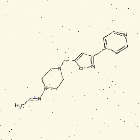 C/C=N/N1CCN(Cc2cc(-c3ccncc3)no2)CC1